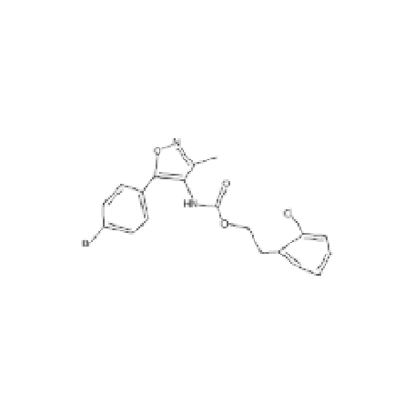 Cc1noc(-c2ccc(Br)cc2)c1NC(=O)OCCc1ccccc1Cl